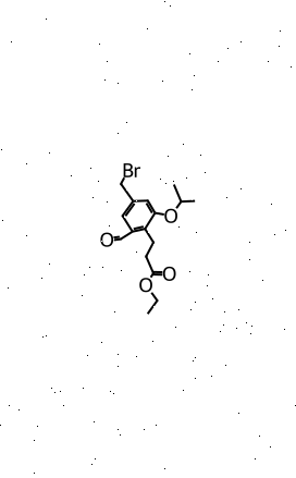 CCOC(=O)CCc1c(C=O)cc(CBr)cc1OC(C)C